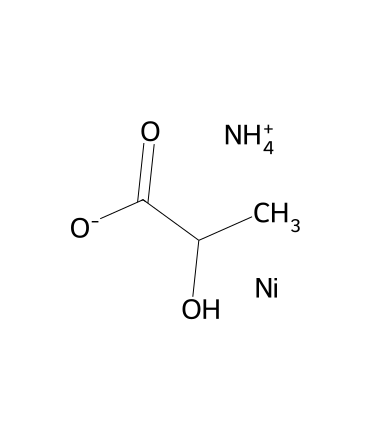 CC(O)C(=O)[O-].[NH4+].[Ni]